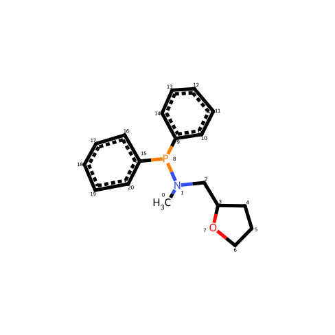 CN(CC1CCCO1)P(c1ccccc1)c1ccccc1